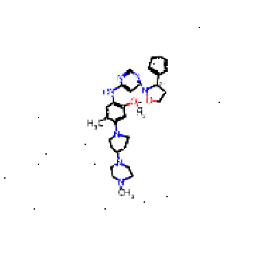 COc1cc(N2CCC(N3CCN(C)CC3)CC2)c(C)cc1Nc1cc(N2OCC[C@@H]2c2ccccc2)ncn1